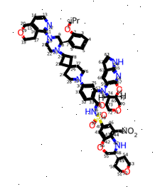 CC(C)Oc1ccccc1[C@@H]1CN(c2nccc3c2CCOC3)CCN1C1CC2(CCN(c3ccc(C(=O)NS(=O)(=O)c4cc5c(c([N+](=O)[O-])c4)N[C@H](C4CCOCC4)CO5)c(N4c5cc6cc[nH]c6nc5O[C@H]5COCC[C@@H]54)c3)CC2)C1